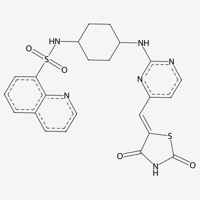 O=C1NC(=O)/C(=C/c2ccnc(NC3CCC(NS(=O)(=O)c4cccc5cccnc45)CC3)n2)S1